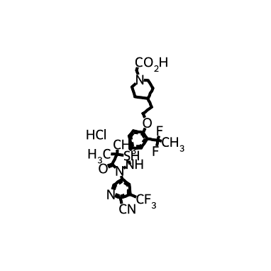 CC(F)(F)c1cc([SH]2NN(c3cnc(C#N)c(C(F)(F)F)c3)C(=O)C2(C)C)ccc1OCCC1CCN(CC(=O)O)CC1.Cl